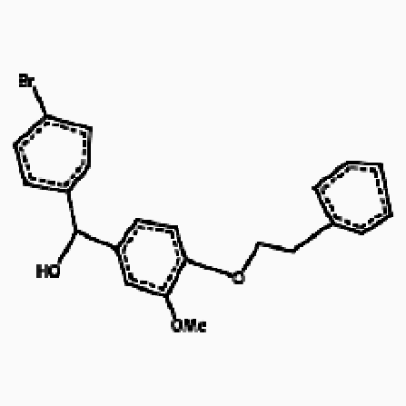 COc1cc(C(O)c2ccc(Br)cc2)ccc1OCCc1ccccc1